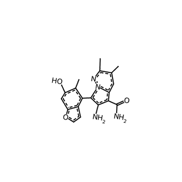 Cc1cc2c(C(N)=O)c(N)c(-c3c(C)c(O)cc4occc34)n2nc1C